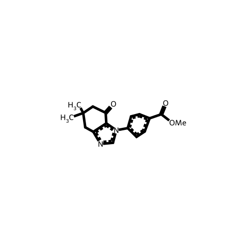 COC(=O)c1ccc(-n2cnc3c2C(=O)CC(C)(C)C3)cc1